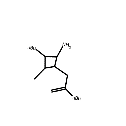 C=C(CCCC)CC1C(C)C(CCCC)C1N